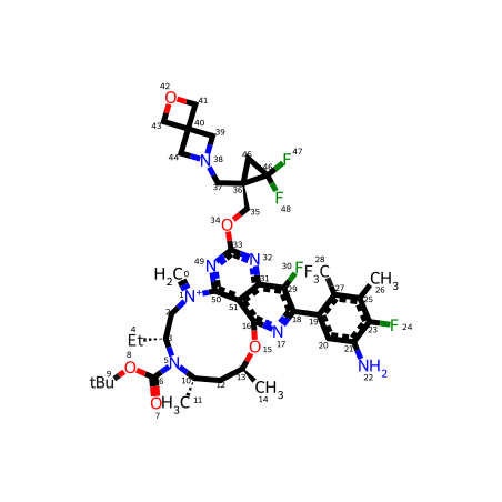 C=[N+]1C[C@@H](CC)N(C(=O)OC(C)(C)C)[C@@H](C)C[C@H](C)Oc2nc(-c3cc(N)c(F)c(C)c3C(F)(F)F)c(F)c3nc(OC[C@@]4(CN5CC6(COC6)C5)CC4(F)F)nc1c23